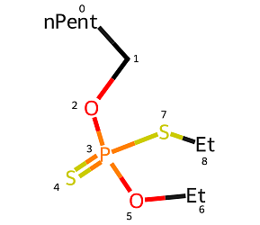 CCCCCCOP(=S)(OCC)SCC